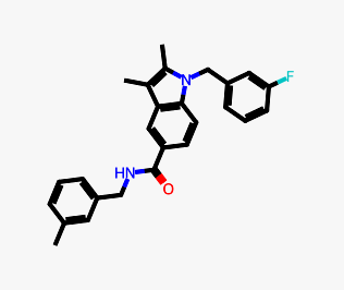 Cc1cccc(CNC(=O)c2ccc3c(c2)c(C)c(C)n3Cc2cccc(F)c2)c1